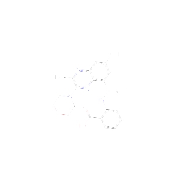 Cc1cc([C@H](C)Nc2ccccc2C(=O)O)c2nc(N3CCOCC3)c(C)nc2c1